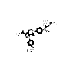 COc1ccc(-n2nc(C(N)=O)c3c2C(=O)N(c2ccc(N(C)C(=O)CN(C)C)cc2)CC3)cc1